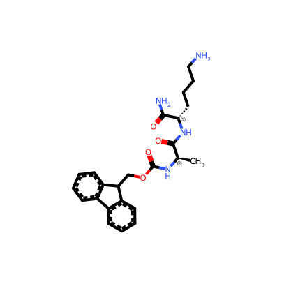 C[C@@H](NC(=O)OCC1c2ccccc2-c2ccccc21)C(=O)N[C@@H](CCCCN)C(N)=O